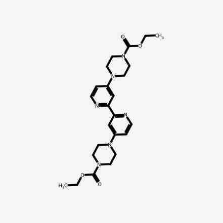 CCOC(=O)N1CCN(c2ccnc(-c3cc(N4CCN(C(=O)OCC)CC4)ccn3)c2)CC1